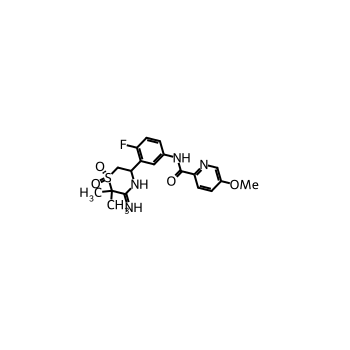 COc1ccc(C(=O)Nc2ccc(F)c(C3CS(=O)(=O)C(C)(C)C(=N)N3)c2)nc1